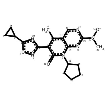 Cc1c(-c2noc(C3CC3)n2)c(=O)n(C2CCCC2)c2nc([S+](C)[O-])ncc12